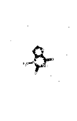 O=c1[nH]c(=O)n(C(F)(F)F)c2ccsc12